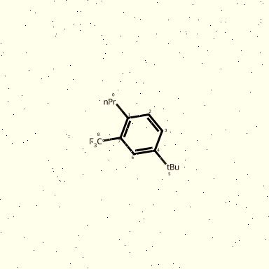 CCCc1ccc(C(C)(C)C)cc1C(F)(F)F